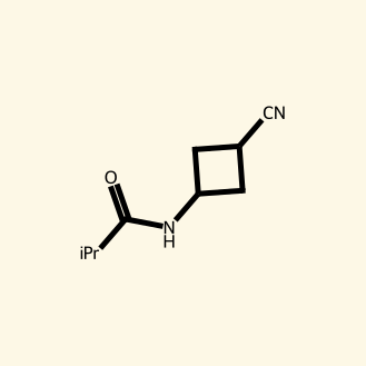 CC(C)C(=O)NC1CC(C#N)C1